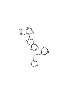 c1ccc(CN(CC2=NCCOC2)c2ncc3cc(-c4ncnc5[nH]ncc45)ccc3n2)cc1